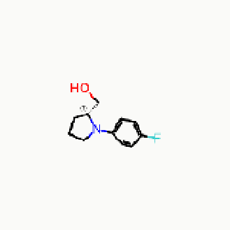 OC[C@H]1CCCN1c1ccc(F)cc1